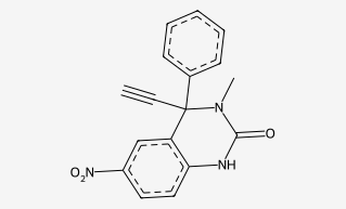 C#CC1(c2ccccc2)c2cc([N+](=O)[O-])ccc2NC(=O)N1C